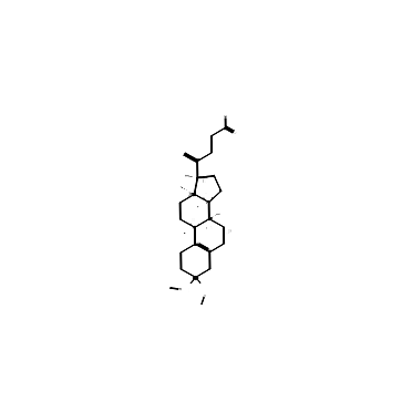 C=C(CCC(=O)O)[C@]1(O)CC[C@H]2[C@@H]3[C@H](C)CC4=C(CCC(OC)(OC)C4)[C@H]3CC[C@@]21C